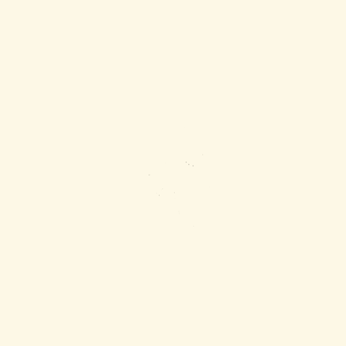 Cc1cc2cccc(N3CCOCC3)c2n1C